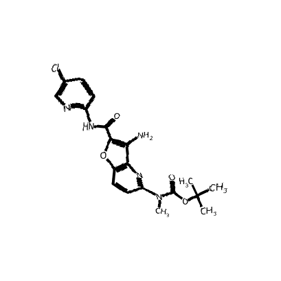 CN(C(=O)OC(C)(C)C)c1ccc2oc(C(=O)Nc3ccc(Cl)cn3)c(N)c2n1